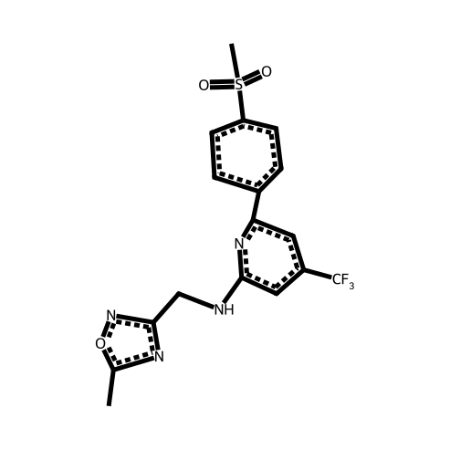 Cc1nc(CNc2cc(C(F)(F)F)cc(-c3ccc(S(C)(=O)=O)cc3)n2)no1